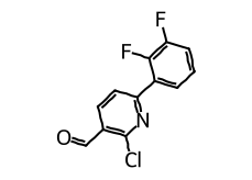 O=Cc1ccc(-c2cccc(F)c2F)nc1Cl